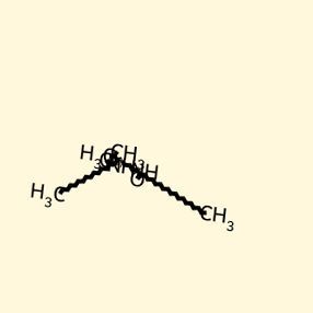 CCCCCCCCCCCCCCCCCC(=O)NCCCC[C@H](NC(=O)CCCCCCCCCCCCC)C(C)C